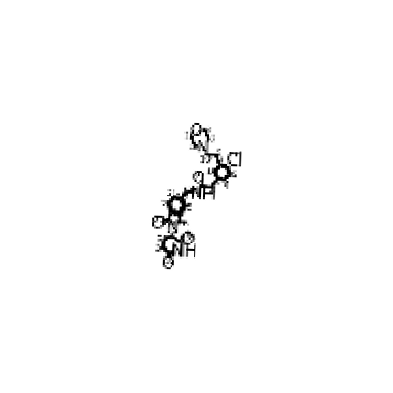 O=C(Cc1ccc(Cl)c(CCN2CCOCC2)c1)NCc1ccc2c(c1)CN(C1CCC(=O)NC1=O)C2=O